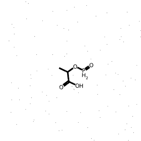 CC(O[PH2]=O)C(=O)O